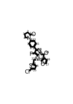 O=C1CCCN1c1ccc(-c2nn(C(=O)c3ccoc3)c(NCc3ccc(Cl)s3)c2F)cc1